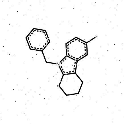 Fc1ccc2c(c1)c1c(n2Cc2ccccc2)[C]CCC1